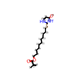 C=C(C)C(=O)OCCCCCCCCCCCSC1NC=CC(=O)N1